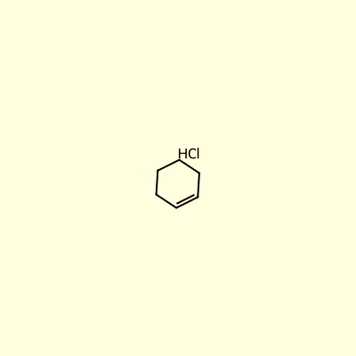 C1=CCCCC1.Cl